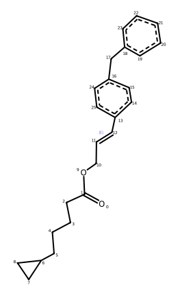 O=C(CCCCC1CC1)OC/C=C/c1ccc(Cc2ccccc2)cc1